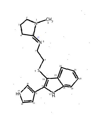 CN1CCC/C1=N\CCSc1c(-c2cc[nH]c2)[nH]c2ccccc12